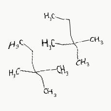 CCC(C)(C)C.CCC(C)(C)C